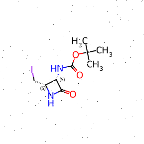 CC(C)(C)OC(=O)N[C@@H]1C(=O)N[C@@H]1CI